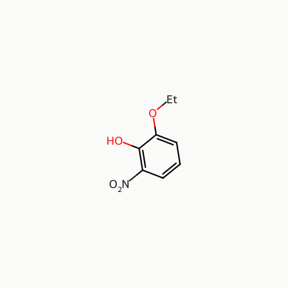 CCOc1cccc([N+](=O)[O-])c1O